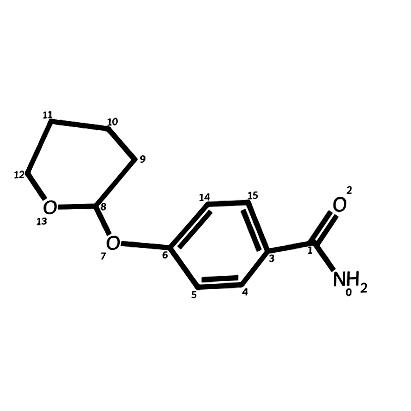 NC(=O)c1ccc(OC2CCCCO2)cc1